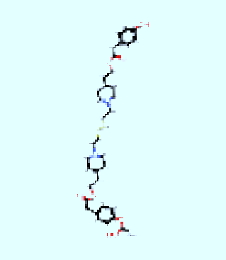 CCC(O)Oc1ccc(CC(=O)OCCC2CCN(CCSSCCN3CCC(CCOC(=O)Cc4ccc(O)cc4)CC3)CC2)cc1